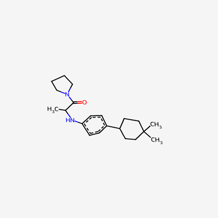 CC(Nc1ccc(C2CCC(C)(C)CC2)cc1)C(=O)N1CCCC1